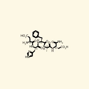 C[C@H](NC(=O)[C@H](Cc1ccccc1)NC(=O)[C@H](Cc1c[nH]cn1)NC(=O)[C@@H](N)CC(=O)O)C(=O)N[C@@H](CC(=O)O)C(N)=O